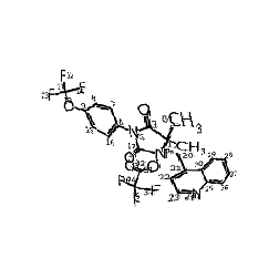 CC1(C)C(=O)N(c2ccc(OC(F)(F)F)cc2)C(=O)[N+]1(Cc1ccnc2ccccc12)OC(=O)C(F)(F)F